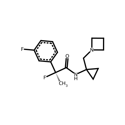 C[C@@](F)(C(=O)NC1(CN2CCC2)CC1)c1cccc(F)c1